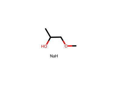 COCC(C)O.[NaH]